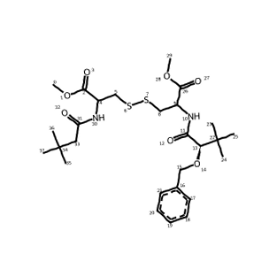 COC(=O)C(CSSCC(NC(=O)[C@H](OCc1ccccc1)C(C)(C)C)C(=O)OC)NC(=O)CC(C)(C)C